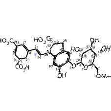 COC[C@H]1O[C@@H](Oc2cc3c(cc2O)N(/C=C/C2=CC(C(=O)O)=N[C@H](C(=O)O)C2)[C@H](C(=O)O)C3)[C@H](O)[C@@H](O)[C@@H]1O